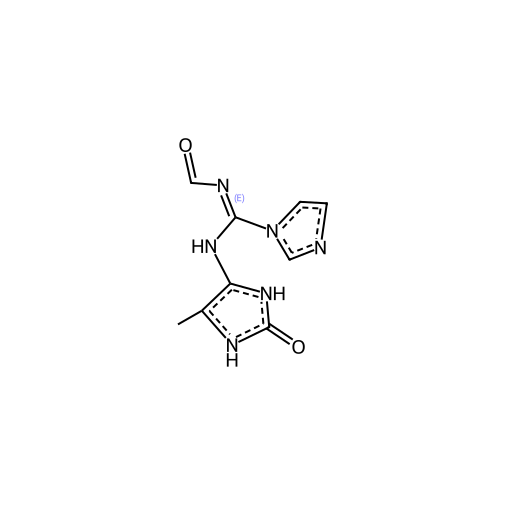 Cc1[nH]c(=O)[nH]c1N/C(=N\C=O)n1ccnc1